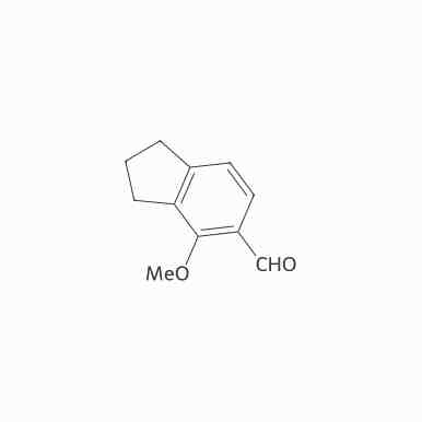 COc1c(C=O)ccc2c1CCC2